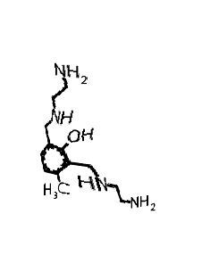 Cc1ccc(CNCCN)c(O)c1CNCCN